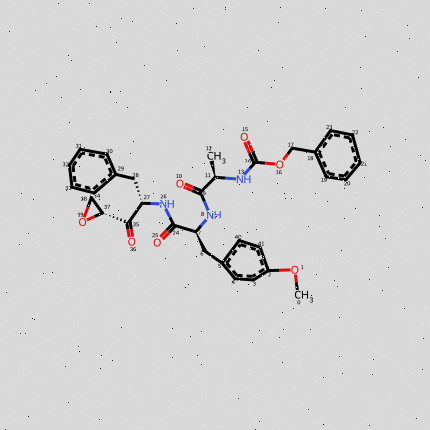 COc1ccc(C[C@H](NC(=O)[C@@H](C)NC(=O)OCc2ccccc2)C(=O)N[C@@H](Cc2ccccc2)C(=O)[C@H]2CO2)cc1